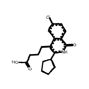 O=C(O)CCCc1c(C2CCCC2)[nH]c(=O)c2ccc(Cl)cc12